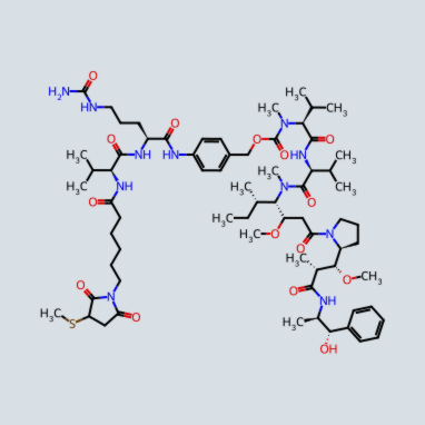 CC[C@H](C)[C@@H](C(CC(=O)N1CCC[C@H]1[C@H](OC)[C@@H](C)C(=O)N[C@H](C)[C@@H](O)c1ccccc1)OC)N(C)C(=O)[C@@H](NC(=O)[C@H](C(C)C)N(C)C(=O)OCc1ccc(NC(=O)[C@H](CCCNC(N)=O)NC(=O)[C@@H](NC(=O)CCCCCN2C(=O)CC(SC)C2=O)C(C)C)cc1)C(C)C